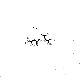 CC(C)CC(=O)CN[C@H](C(=O)[O-])C(C)C.[Li+]